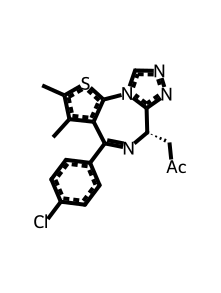 CC(=O)C[C@@H]1N=C(c2ccc(Cl)cc2)c2c(sc(C)c2C)-n2cnnc21